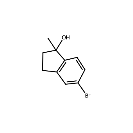 CC1(O)CCc2cc(Br)ccc21